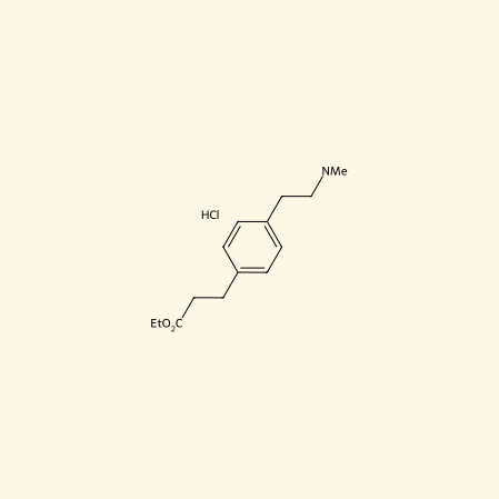 CCOC(=O)CCc1ccc(CCNC)cc1.Cl